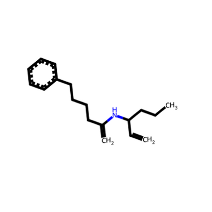 C=CC(CCC)NC(=C)CCCCc1ccccc1